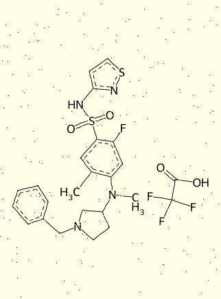 Cc1cc(S(=O)(=O)Nc2ccsn2)c(F)cc1N(C)C1CCN(Cc2ccccc2)C1.O=C(O)C(F)(F)F